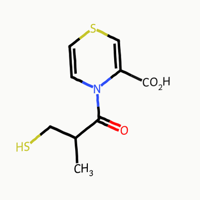 CC(CS)C(=O)N1C=CSC=C1C(=O)O